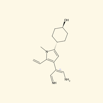 C=Cc1c(/C(C=N)=C/N)cc([C@H]2CC[C@H](O)CC2)n1C